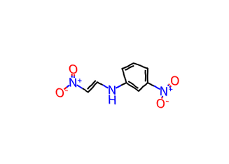 O=[N+]([O-])/C=C/Nc1cccc([N+](=O)[O-])c1